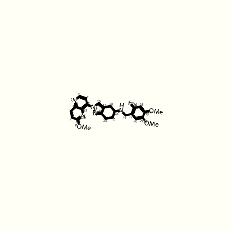 COc1ccc2nccc(-n3cc4c(n3)CCC(NCc3cc(OC)c(OC)cc3F)C4)c2n1